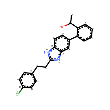 CC(O)c1ccccc1-c1ccc2[nH]c(CCc3ccc(Cl)cc3)nc2c1